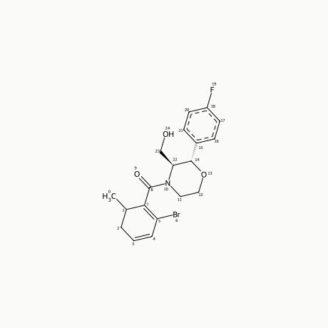 CC1CC=CC(Br)=C1C(=O)N1CCO[C@@H](c2ccc(F)cc2)[C@@H]1CO